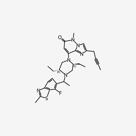 CC#CCc1cn2c(n1)c(N1C[C@@H](CC)N(C(C)c3ccc4nc(C)sc4c3F)C[C@@H]1CC)cc(=O)n2C